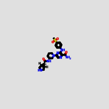 CS(=O)(=O)c1ccc(Nc2nc(N3CCC[C@@H](NC(=O)[C@H]4[C@@H]5CNC[C@@H]54)C3)cnc2C(N)=O)cc1